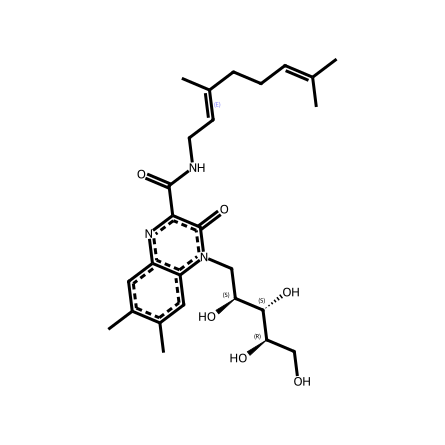 CC(C)=CCC/C(C)=C/CNC(=O)c1nc2cc(C)c(C)cc2n(C[C@H](O)[C@H](O)[C@H](O)CO)c1=O